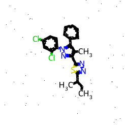 CCC(C)c1nnc(-c2nn(-c3ccc(Cl)cc3Cl)c(-c3ccccc3)c2C)s1